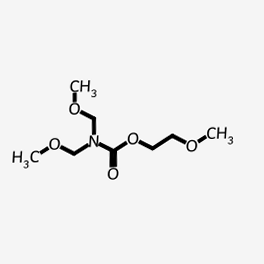 COCCOC(=O)N(COC)COC